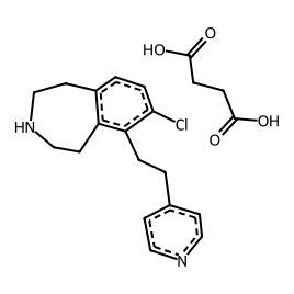 Clc1ccc2c(c1CCc1ccncc1)CCNCC2.O=C(O)CCC(=O)O